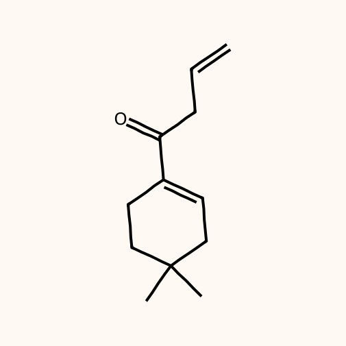 C=CCC(=O)C1=CCC(C)(C)CC1